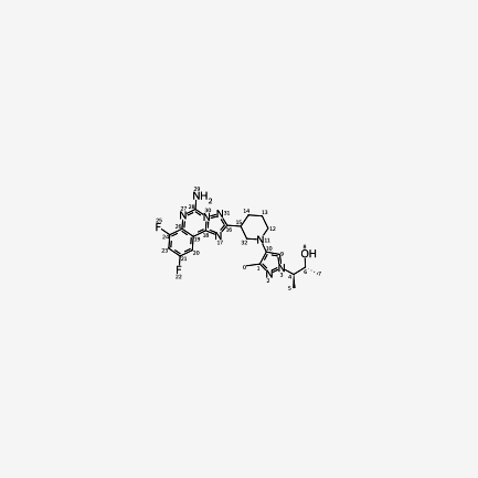 Cc1nn([C@H](C)[C@@H](C)O)cc1N1CCCC(c2nc3c4cc(F)cc(F)c4nc(N)n3n2)C1